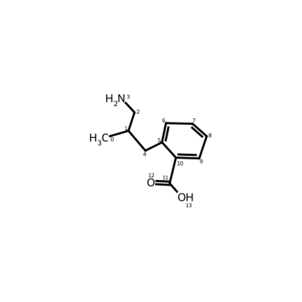 CC(CN)Cc1ccccc1C(=O)O